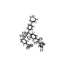 O=C(Nc1cccc([N+](=O)[O-])c1)NC(c1ccc(C(=O)Nc2nn[nH]n2)cc1)c1ccc(C2=CCCCC2)cc1